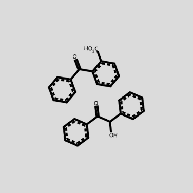 O=C(O)c1ccccc1C(=O)c1ccccc1.O=C(c1ccccc1)C(O)c1ccccc1